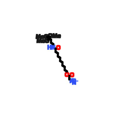 CO[Si](CCCNC(=O)CCCCCCCCCCOC(=O)C=[N+]=[N-])(OC)OC